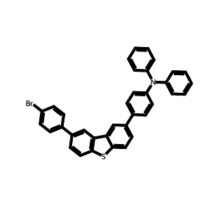 Brc1ccc(-c2ccc3sc4ccc(-c5ccc(N(c6ccccc6)c6ccccc6)cc5)cc4c3c2)cc1